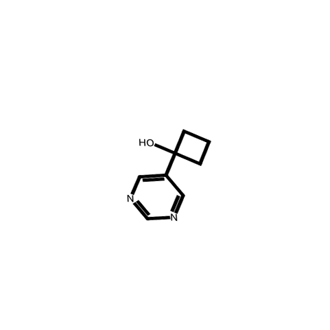 OC1(c2cncnc2)CCC1